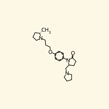 C[C@H]1CCCN1CCCOc1ccc(N2C(=O)CCC2CN2CCCC2)cc1